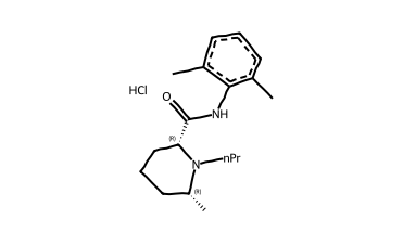 CCCN1[C@H](C)CCC[C@@H]1C(=O)Nc1c(C)cccc1C.Cl